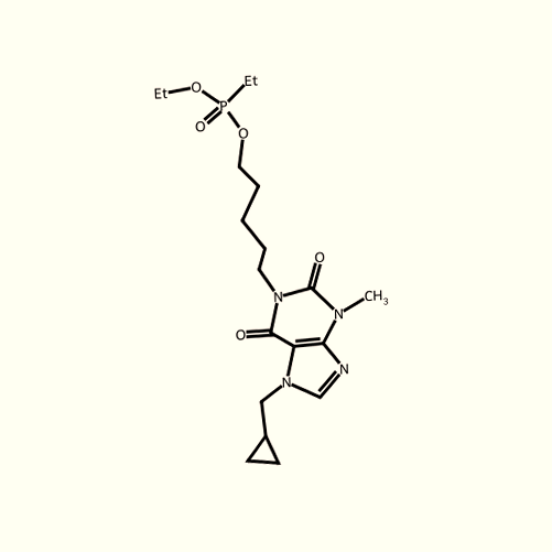 CCOP(=O)(CC)OCCCCCn1c(=O)c2c(ncn2CC2CC2)n(C)c1=O